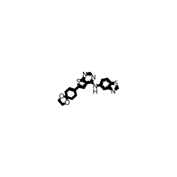 C1=C(c2cc3c(Nc4ccc5scnc5c4)ncnc3s2)CCC2(C1)OCCO2